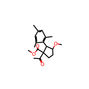 COC(=O)C1(C(C)=O)CCC(OC)C1c1c(C)cc(C)cc1C